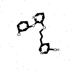 Oc1cncc(CCCOc2cccnc2Oc2cccc(Cl)c2)c1